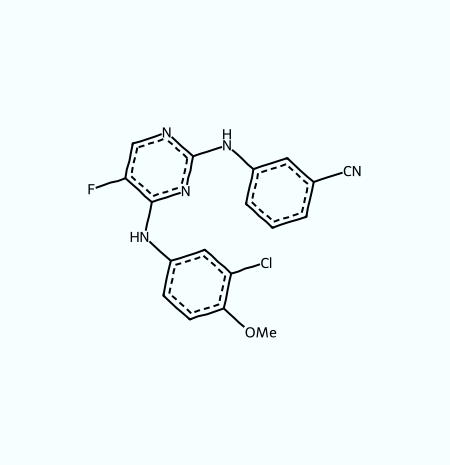 COc1ccc(Nc2nc(Nc3cccc(C#N)c3)ncc2F)cc1Cl